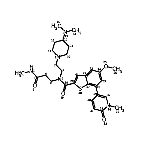 CNC(=O)CCN(CCN1CCC(N(C)C)CC1)C(=O)c1cc2cc(OC)cc(-c3ccc(=O)n(C)c3)c2s1